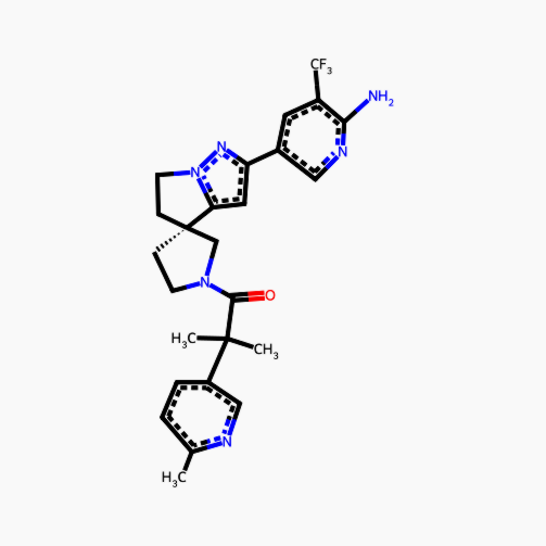 Cc1ccc(C(C)(C)C(=O)N2CC[C@@]3(CCn4nc(-c5cnc(N)c(C(F)(F)F)c5)cc43)C2)cn1